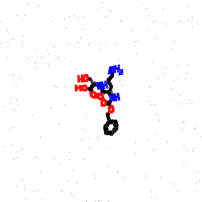 NCCC[C@H](NC(=O)OCc1ccccc1)C(=O)N[C@@H](CO)C(=O)O